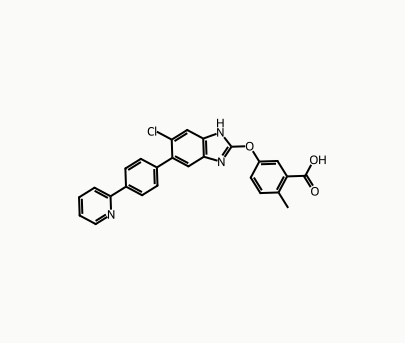 Cc1ccc(Oc2nc3cc(-c4ccc(-c5ccccn5)cc4)c(Cl)cc3[nH]2)cc1C(=O)O